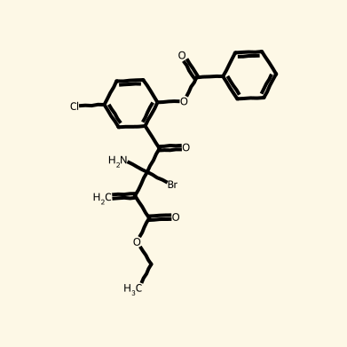 C=C(C(=O)OCC)C(N)(Br)C(=O)c1cc(Cl)ccc1OC(=O)c1ccccc1